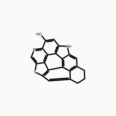 Oc1cc2[nH]c3cc4c5c(cc6sc7cnc1c1c2c3c5c6c71)CCC4